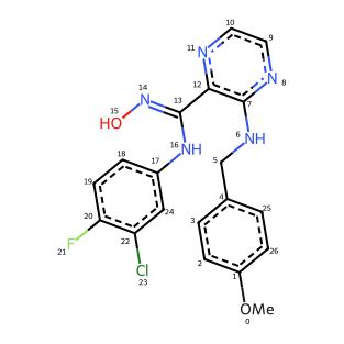 COc1ccc(CNc2nccnc2C(=NO)Nc2ccc(F)c(Cl)c2)cc1